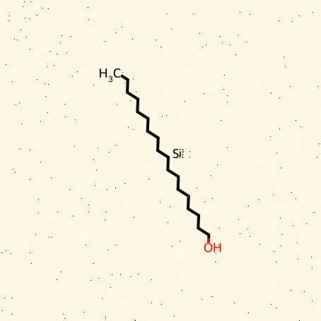 CCCCCCCCCCCCCCCCCCO.[Si]